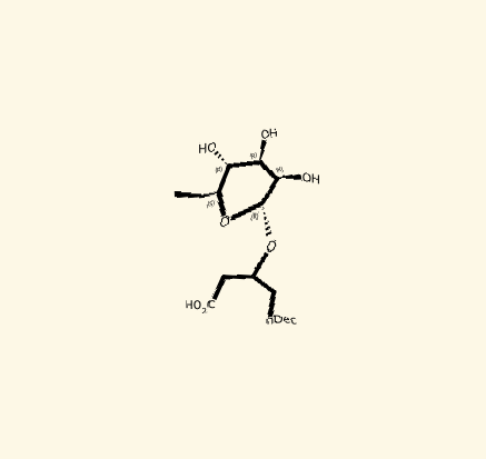 CCCCCCCCCCCC(CC(=O)O)O[C@@H]1O[C@@H](C)[C@H](O)[C@@H](O)[C@H]1O